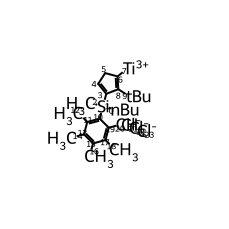 CCCC[Si](C)(C1=CC[C]([Ti+3])=C1C(C)(C)C)c1c(C)c(C)c(C)c(C)c1C.[Cl-].[Cl-].[Cl-]